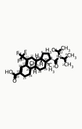 CC(C)N(C(=O)[C@H]1CC[C@H]2[C@@H]3CC(C(F)(F)F)=C4C=C(C(=O)O)CC[C@]4(C)[C@H]3CC[C@]12C)C(C)C